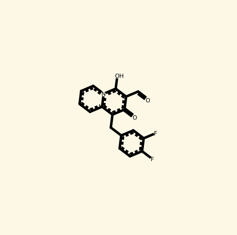 O=Cc1c(O)n2ccccc2c(Cc2ccc(F)c(F)c2)c1=O